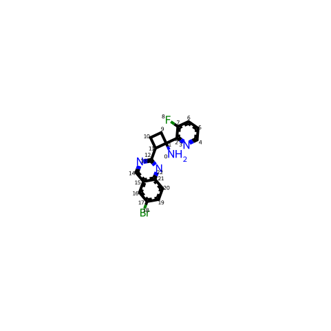 NC1(c2ncccc2F)CCC1c1ncc2cc(Br)ccc2n1